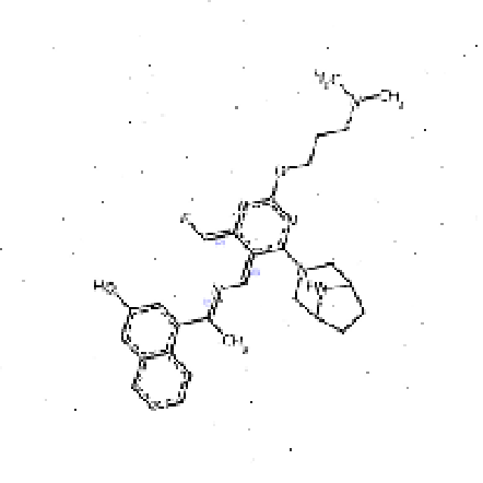 C\C(=N/C=c1/c(N2CC3CCC(C2)N3)nc(OCCCN(C)C)n/c1=C\F)c1cc(O)cc2ccccc12